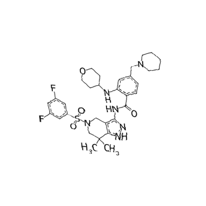 CC1(C)CN(S(=O)(=O)c2cc(F)cc(F)c2)Cc2c(NC(=O)c3ccc(CN4CCCCC4)cc3NC3CCOCC3)n[nH]c21